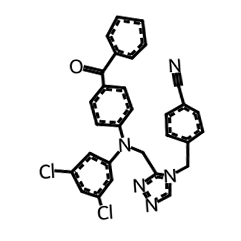 N#Cc1ccc(Cn2cnnc2CN(c2ccc(C(=O)c3ccccc3)cc2)c2cc(Cl)cc(Cl)c2)cc1